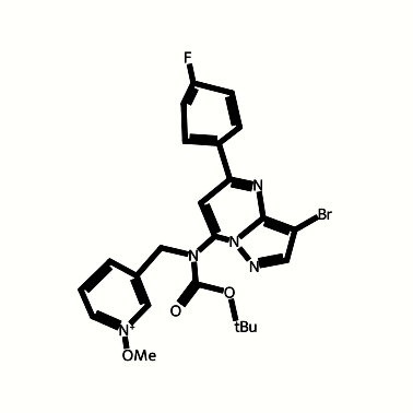 CO[n+]1cccc(CN(C(=O)OC(C)(C)C)c2cc(-c3ccc(F)cc3)nc3c(Br)cnn23)c1